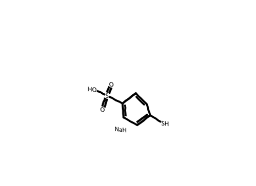 O=S(=O)(O)c1ccc(S)cc1.[NaH]